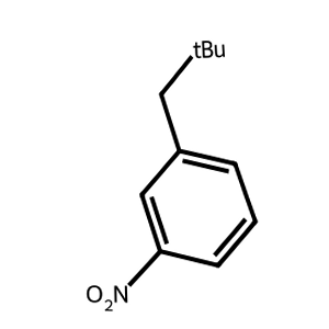 CC(C)(C)Cc1cccc([N+](=O)[O-])c1